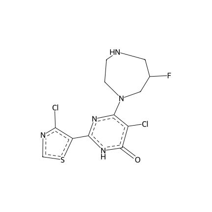 O=c1[nH]c(-c2scnc2Cl)nc(N2CCNCC(F)C2)c1Cl